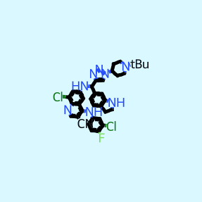 CC(C)(C)N1CCC(n2cc(C(Nc3cc(Cl)c4ncc(C#N)c(Nc5ccc(F)c(Cl)c5)c4c3)c3ccc4c(c3)NCC4)nn2)CC1